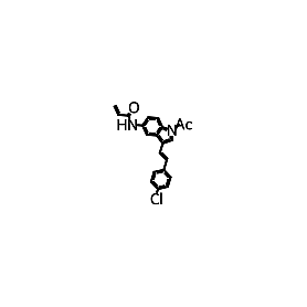 C=CC(=O)Nc1ccc2c(c1)c(C=Cc1ccc(Cl)cc1)cn2C(C)=O